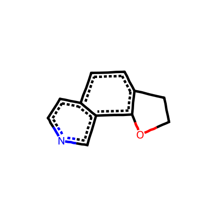 c1cc2ccc3c(c2cn1)OCC3